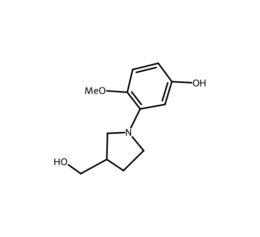 COc1ccc(O)cc1N1CCC(CO)C1